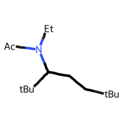 CCN(C(C)=O)C(CCC(C)(C)C)C(C)(C)C